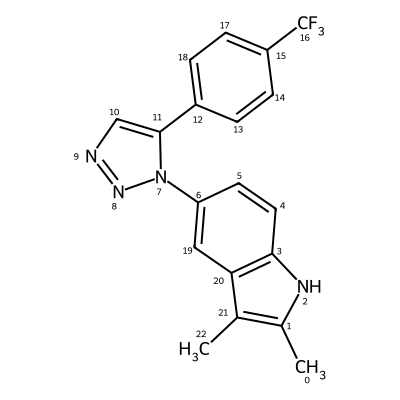 Cc1[nH]c2ccc(-n3nncc3-c3ccc(C(F)(F)F)cc3)cc2c1C